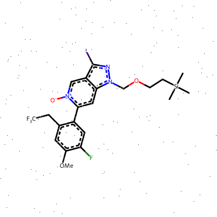 COc1cc(CC(F)(F)F)c(-c2cc3c(c[n+]2[O-])c(I)nn3COCC[Si](C)(C)C)cc1F